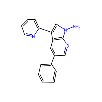 Nn1cc(-c2ccccn2)c2cc(-c3ccccc3)cnc21